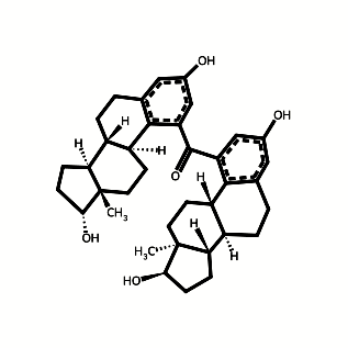 C[C@]12CC[C@@H]3c4c(cc(O)cc4C(=O)c4cc(O)cc5c4[C@H]4CC[C@]6(C)[C@H](O)CC[C@H]6[C@@H]4CC5)CC[C@H]3[C@@H]1CC[C@H]2O